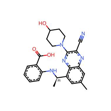 Cc1cc([C@@H](C)Nc2ccccc2C(=O)O)c2nc(N3CCC(O)CC3)c(C#N)nc2c1